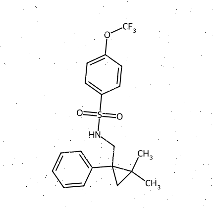 CC1(C)CC1(CNS(=O)(=O)c1ccc(OC(F)(F)F)cc1)c1ccccc1